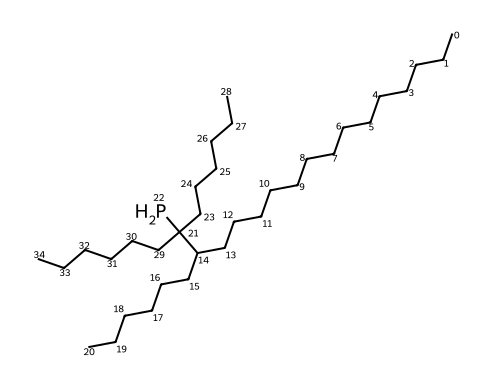 CCCCCCCCCCCCCCC(CCCCCC)C(P)(CCCCCC)CCCCCC